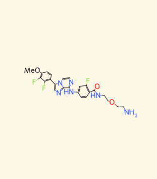 COc1ccc(-c2cnc3c(Nc4ccc(C(=O)NCCOCCN)c(F)c4)nccn23)c(F)c1F